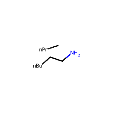 CCCC.CCCCCCN